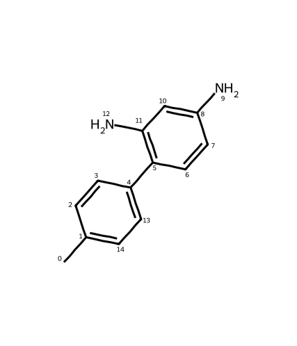 Cc1ccc(-c2ccc(N)cc2N)cc1